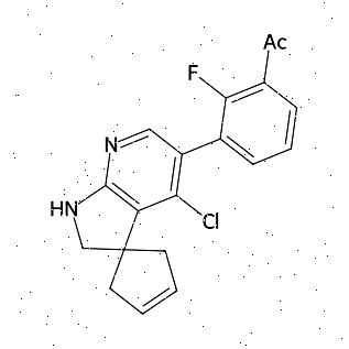 CC(=O)c1cccc(-c2cnc3c(c2Cl)C2(CC=CC2)CN3)c1F